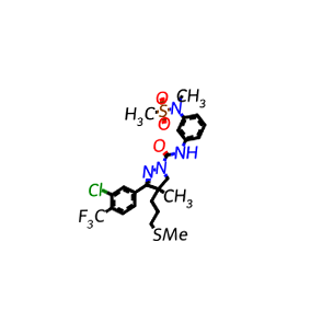 CSCCCC1(C)CN(C(=O)Nc2cccc(N(C)S(C)(=O)=O)c2)N=C1c1ccc(C(F)(F)F)c(Cl)c1